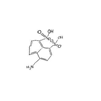 Nc1ccc(S(=O)(=O)O)c2c(S(=O)(=O)O)cccc12